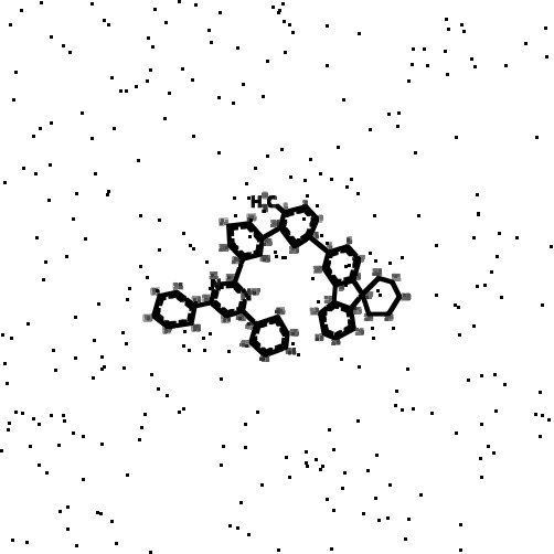 Cc1ccc(-c2ccc3c(c2)-c2ccccc2C32CCCCC2)cc1-c1cccc(-c2nc(-c3ccccc3)cc(-c3ccccc3)n2)c1